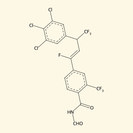 O=CNC(=O)c1ccc(C(F)=CC(c2cc(Cl)c(Cl)c(Cl)c2)C(F)(F)F)cc1C(F)(F)F